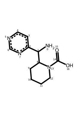 NC(c1ccncn1)C1CCCCN1C(=O)O